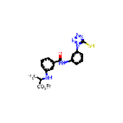 CCOC(=O)C(C)Nc1cccc(C(=O)Nc2cccc(-n3nnnc3S)c2)c1